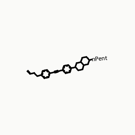 C=CCCc1ccc(C#Cc2ccc(C3CCC4CC(CCCCC)CCC4C3)cc2)cc1